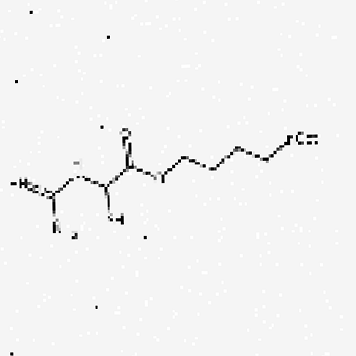 CCCCCCCCCCCCOC(=O)C(S)NC(=N)N